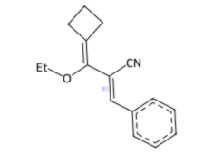 CCOC(=C1CCC1)/C(C#N)=C/c1ccccc1